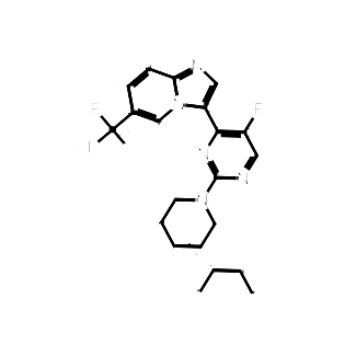 CCC(C)[C@@H]1CCCN(c2ncc(F)c(-c3cnc4ccc(C(F)(F)F)cn34)n2)C1